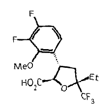 CC[C@]1(C(F)(F)F)C[C@@H](c2ccc(F)c(F)c2OC)[C@H](C(=O)O)O1